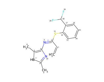 C=C/C(=N\C1=C(C)BC(C)=N1)Sc1ccccc1C(F)F